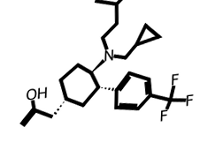 C=C(O)C[C@@H]1CC[C@@H](N(CCC(C)C)CC2CC2)[C@H](c2ccc(C(F)(F)F)cc2)C1